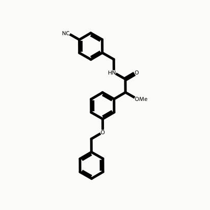 COC(C(=O)NCc1ccc(C#N)cc1)c1cccc(OCc2ccccc2)c1